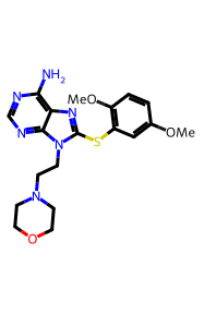 COc1ccc(OC)c(Sc2nc3c(N)ncnc3n2CCN2CCOCC2)c1